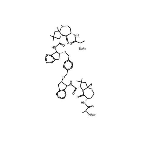 CN[C@@H](C)C(=S)N[C@H]1CCS[C@H]2CC(C)(C)[C@@H](C(=O)NC3c4ccccc4C[C@H]3OCc3ccc(CO[C@@H]4Cc5ccccc5[C@@H]4NC(=O)[C@H]4N5C(=O)[C@@H](NC(=S)[C@H](C)NC)CCS[C@H]5CC4(C)C)cc3)N2C1=O